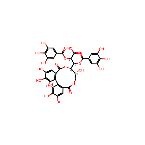 O=C(O[C@@H]([C@@H]1OC(=O)c2cc(O)c(O)c(O)c2-c2c(cc(O)c(O)c2O)C(=O)OC[C@H]1O)[C@@H](OC(=O)c1cc(O)c(O)c(O)c1)C(=O)O)c1cc(O)c(O)c(O)c1